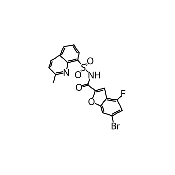 Cc1ccc2cccc(S(=O)(=O)NC(=O)c3cc4c(F)cc(Br)cc4o3)c2n1